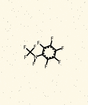 Fc1c(F)c(F)c(N(F)C(F)(F)F)c(F)c1F